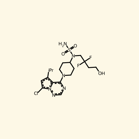 CC(C)c1cc(Cl)n2ncnc(N3CCC(N(CC(F)(F)CCO)S(N)(=O)=O)CC3)c12